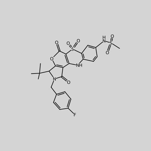 CC(C)(C)C1c2oc(=O)c3c(c2C(=O)N1Cc1ccc(F)cc1)Nc1ccc(NS(C)(=O)=O)cc1S3(=O)=O